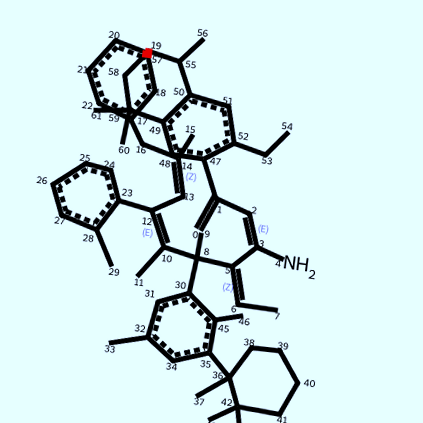 C=C(/C=C(N)\C(=C/C)C(C)(/C(C)=C(\C=C(\C)Cc1ccccc1)c1ccccc1C)c1cc(C)cc(C2(C)CCCCC2(C)C)c1C)c1cc2c(cc1CC)C(C)CCC2(C)C